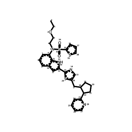 CCOCCN(c1cccc2cc(-c3ncc(CC4CCCC4c4ccccn4)s3)[nH]c12)S(=O)(=O)c1cccs1